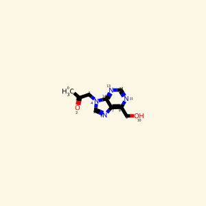 CC(=O)Cn1cnc2c(CO)ncnc21